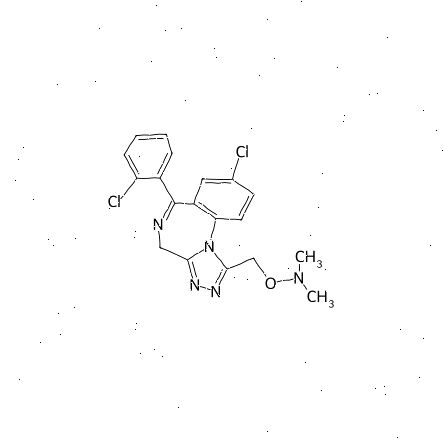 CN(C)OCc1nnc2n1-c1ccc(Cl)cc1C(c1ccccc1Cl)=NC2